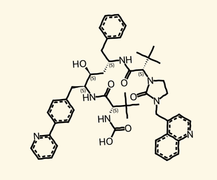 CC(C)(C)[C@H](NC(=O)O)C(=O)N[C@@H](Cc1ccc(-c2ccccn2)cc1)[C@@H](O)C[C@H](Cc1ccccc1)NC(=O)[C@@H](N1CCN(Cc2ccnc3ccccc23)C1=O)C(C)(C)C